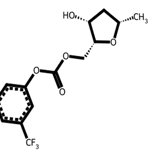 C[C@H]1C[C@@H](O)[C@@H](COC(=O)Oc2cccc(C(F)(F)F)c2)O1